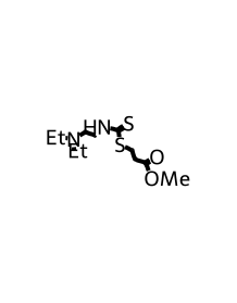 CCN(CC)CCNC(=S)SCCC(=O)OC